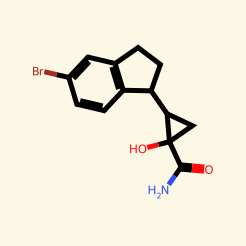 NC(=O)C1(O)CC1C1CCc2cc(Br)ccc21